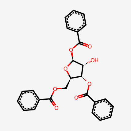 O=C(OC[C@H]1O[C@@H](OC(=O)c2ccccc2)[C@H](O)[C@@H]1OC(=O)c1ccccc1)c1ccccc1